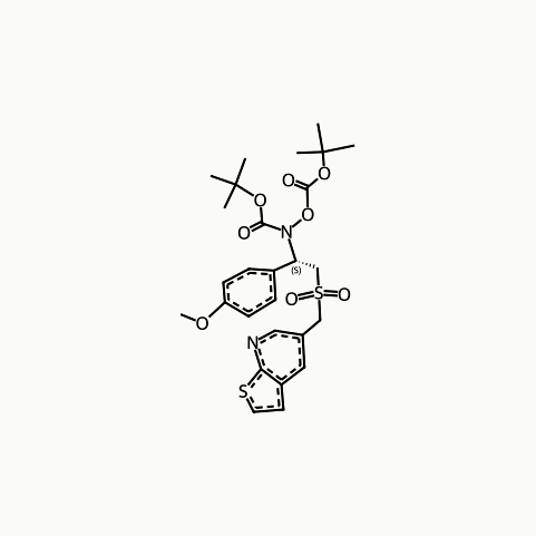 COc1ccc([C@@H](CS(=O)(=O)Cc2cnc3sccc3c2)N(OC(=O)OC(C)(C)C)C(=O)OC(C)(C)C)cc1